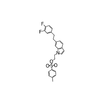 Cc1ccc(S(=O)(=O)OCCn2ccc3ccc(CCc4ccc(F)c(F)c4)cc32)cc1